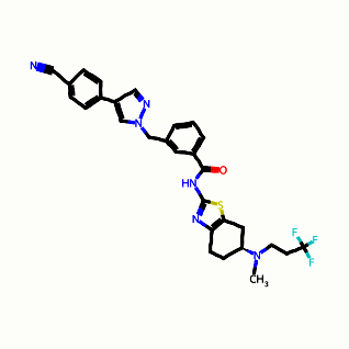 CN(CCC(F)(F)F)[C@H]1CCc2nc(NC(=O)c3cccc(Cn4cc(-c5ccc(C#N)cc5)cn4)c3)sc2C1